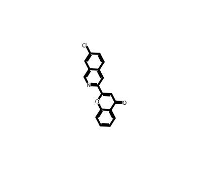 O=c1cc(-c2cc3ccc(Cl)cc3cn2)oc2ccccc12